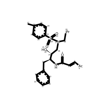 CC(=O)/C=C/C(=O)N[C@@H](Cc1ccccc1)[C@H](O)CN(CC(C)C)S(=O)(=O)c1ccc(C)cc1